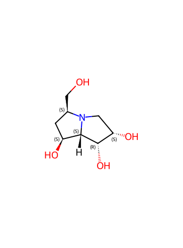 OC[C@@H]1C[C@H](O)[C@H]2[C@@H](O)[C@@H](O)CN12